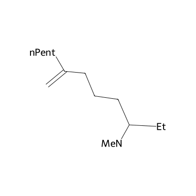 C=C(CCCCC)CCCC(CC)NC